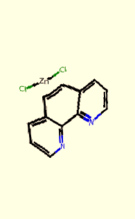 [Cl][Zn][Cl].c1cnc2c(c1)ccc1cccnc12